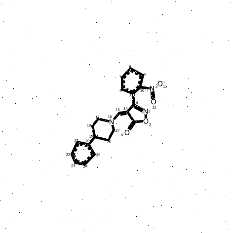 O=C1ON=C(c2ccccc2[N+](=O)[O-])/C1=C/N1CCC(c2ccccc2)CC1